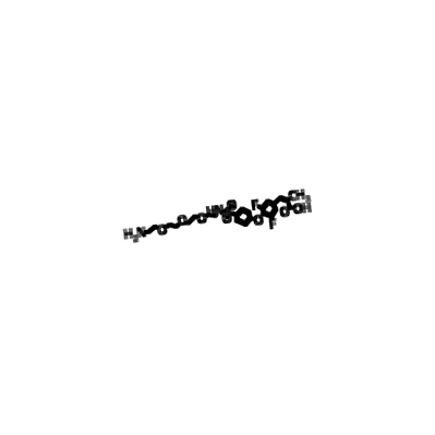 CC(=Cc1cc(F)c(Oc2ccc(S(=O)(=O)NCCOCCOCCOCCN)cc2)c(F)c1)C(=O)O